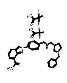 NC(=O)c1cccc2cn(-c3ccc(CNCC4CCN(Cc5ccccc5)C4)cc3)nc12.O=C(O)C(F)(F)F.O=C(O)C(F)(F)F